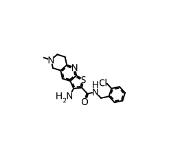 CN1CCc2nc3sc(C(=O)NCc4ccccc4Cl)c(N)c3cc2C1